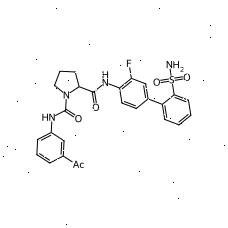 CC(=O)c1cccc(NC(=O)N2CCCC2C(=O)Nc2ccc(-c3ccccc3S(N)(=O)=O)cc2F)c1